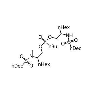 CCCCCCCCCCS(=O)(=O)NC(CCCCCC)COP(=O)(CCCC)OCC(CCCCCC)NS(=O)(=O)CCCCCCCCCC